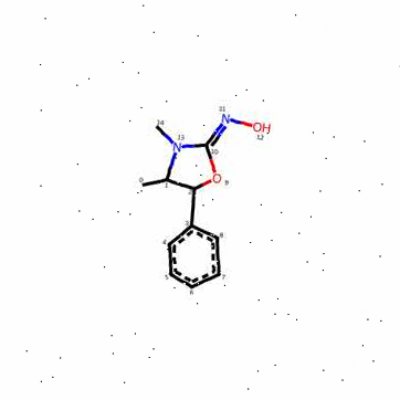 CC1C(c2ccccc2)OC(=NO)N1C